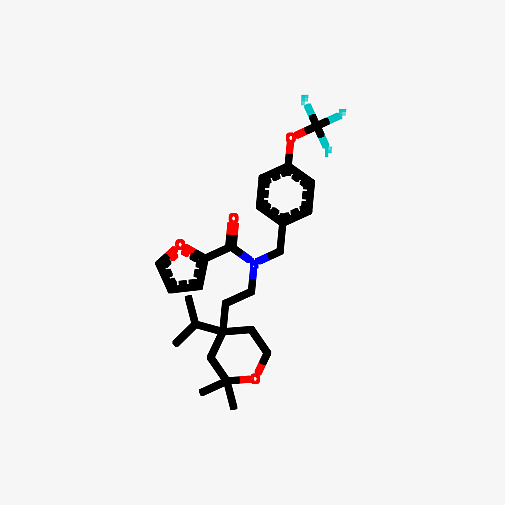 CC(C)C1(CCN(Cc2ccc(OC(F)(F)F)cc2)C(=O)c2ccco2)CCOC(C)(C)C1